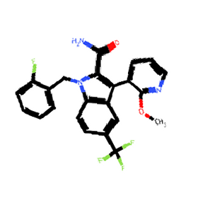 COc1ncccc1-c1c(C(N)=O)n(Cc2ccccc2F)c2ccc(C(F)(F)F)cc12